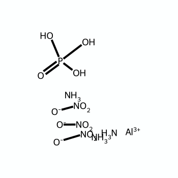 N.N.N.O=P(O)(O)O.O=[N+]([O-])[O-].O=[N+]([O-])[O-].O=[N+]([O-])[O-].[Al+3]